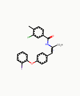 Cc1ccc(C(=O)N/C(=C\c2ccc(Oc3ccccc3I)cc2)C(=O)O)cc1F